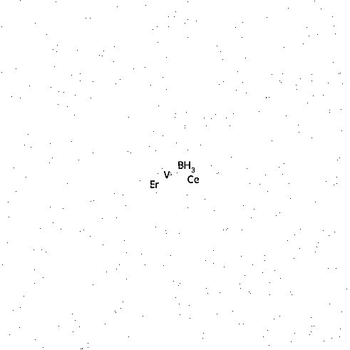 B.[Ce].[Er].[V]